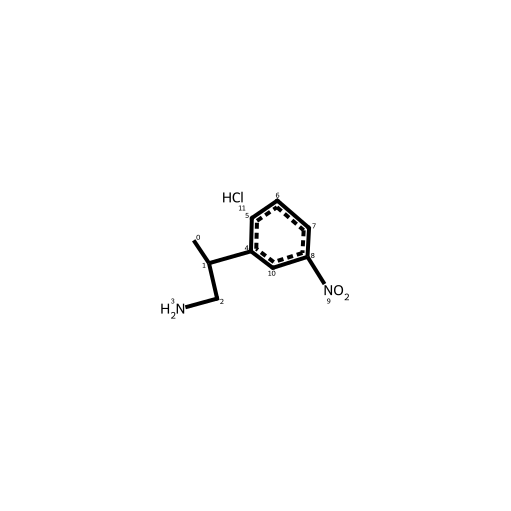 CC(CN)c1cccc([N+](=O)[O-])c1.Cl